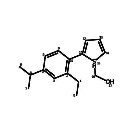 CCc1cc(C(C)C)ccc1C1=CC=C[SH]1CO